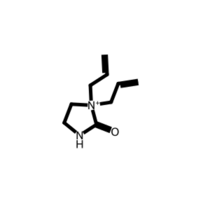 C=CC[N+]1(CC=C)CCNC1=O